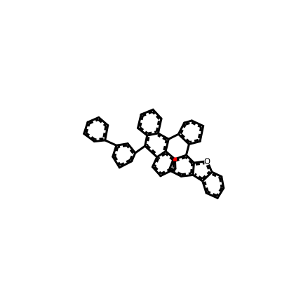 c1ccc(-c2cccc(-c3c4ccccc4c(-c4ccccc4-c4cccc5c4oc4ccccc45)c4ccccc34)c2)cc1